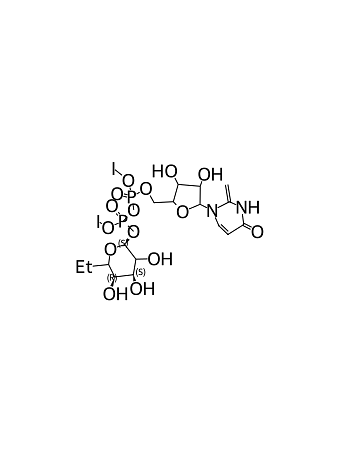 C=C1NC(=O)C=CN1C1OC(COP(=O)(OI)OP(=O)(OI)O[C@@H]2OC(CC)[C@H](O)[C@H](O)C2O)C(O)C1O